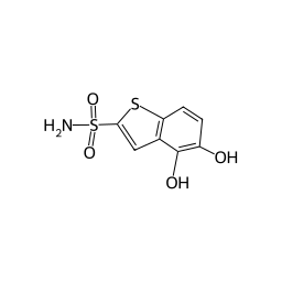 NS(=O)(=O)c1cc2c(O)c(O)ccc2s1